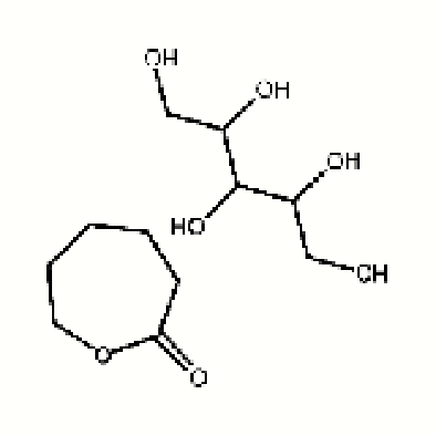 O=C1CCCCCO1.OCC(O)C(O)C(O)CO